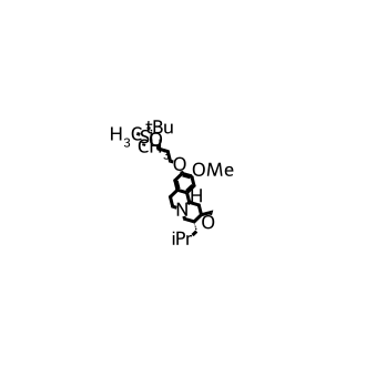 COc1cc2c(cc1OCCCO[Si](C)(C)C(C)(C)C)CCN1C[C@@H](CC(C)C)C3(CO3)C[C@H]21